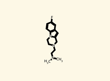 CN(C)CCN1CCn2c(cc3cc(F)ccc32)C1